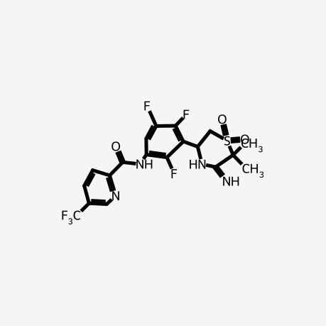 CC1(C)C(=N)NC(c2c(F)c(F)cc(NC(=O)c3ccc(C(F)(F)F)cn3)c2F)CS1(=O)=O